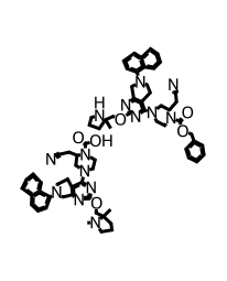 CC1(COc2nc3c(c(N4CCN(C(=O)OCc5ccccc5)C(CC#N)C4)n2)CCN(c2cccc4ccccc24)C3)CCCN1.CN1CCCC1(C)COc1nc2c(c(N3CCN(C(=O)O)C(CC#N)C3)n1)CCN(c1cccc3ccccc13)C2